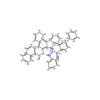 C[C@@H]1Cc2c(c3c(c4c5ccccc5n(-c5nc6ccccc6nc5-c5ccc(-c6ccccc6)cc5)c24)CCC=C3)-c2ccc3ccccc3c21